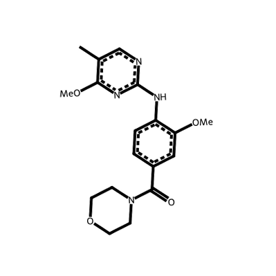 COc1cc(C(=O)N2CCOCC2)ccc1Nc1ncc(C)c(OC)n1